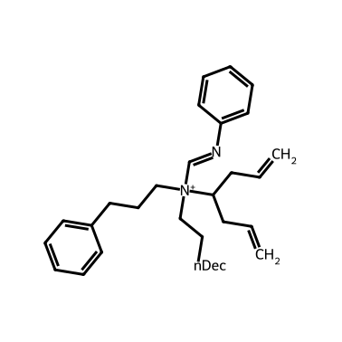 C=CCC(CC=C)[N+](C=Nc1ccccc1)(CCCCCCCCCCCC)CCCc1ccccc1